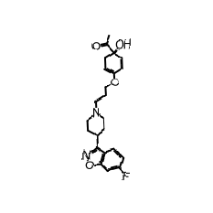 CC(=O)C1(O)C=CC(OCCCN2CCC(c3noc4cc(F)ccc34)CC2)=CC1